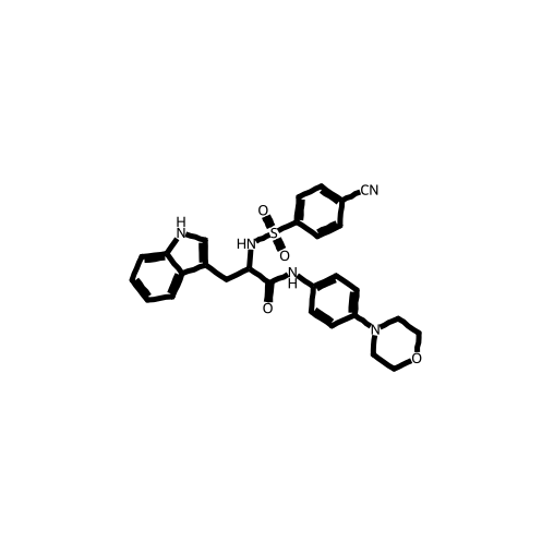 N#Cc1ccc(S(=O)(=O)NC(Cc2c[nH]c3ccccc23)C(=O)Nc2ccc(N3CCOCC3)cc2)cc1